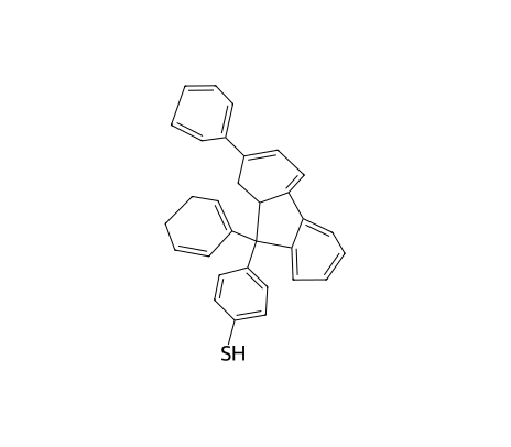 Sc1ccc(C2(C3=CCCC=C3)c3ccccc3C3=CC=C(c4ccccc4)CC32)cc1